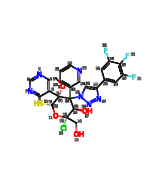 CO[C@@]1(c2cncnc2)[C@@H](S)O[C@](Cl)(CO)[C@H](O)C1(c1cccnc1)n1cc(-c2cc(F)c(F)c(F)c2)nn1